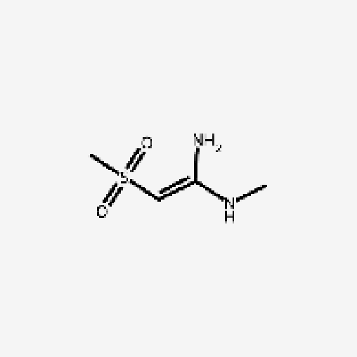 CNC(N)=CS(C)(=O)=O